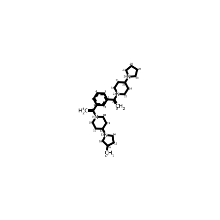 C=C(c1cccc(C(=C)N2CCC(N3CCC(C)C3)CC2)c1)N1CCC(N2CCCC2)CC1